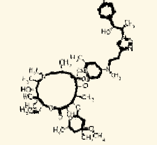 CC[C@H]1OC(=O)[C@H](C)[C@@H](O[C@H]2C[C@@](C)(OC)C[C@H](C)O2)[C@H](C)[C@@H](O[C@H]2C[C@@H](N(C)CCc3cn([C@H](C)[C@H](O)c4ccccc4)nn3)C[C@@H](C)O2)[C@](C)(O)C[C@@H](C)CN(C)[C@H](C)[C@@H](O)[C@]1(C)O